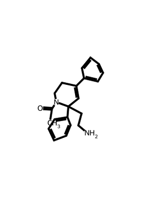 CC(=O)N1CCC(c2ccccc2)=CC1(CCN)c1ccccc1